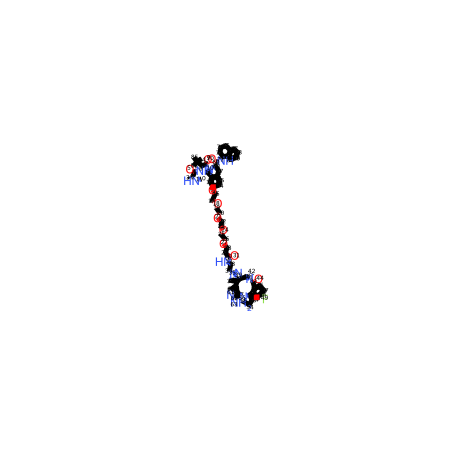 CN[C@@H](C)C(=O)N[C@H](C(=O)N1Cc2cc(OCCOCCOCCOCCOCCC(=O)NCCn3cc4c(n3)CN(C)C(=O)c3ccc(F)cc3[C@H]3CCCN3c3cc-4cnc3N)ccc2C[C@H]1C(=O)N[C@@H]1CCCc2ccccc21)C(C)(C)C